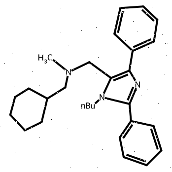 CCCCn1c(-c2ccccc2)nc(-c2ccccc2)c1CN(C)CC1CCCCC1